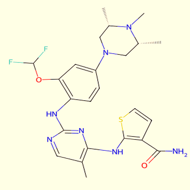 Cc1cnc(Nc2ccc(N3C[C@@H](C)N(C)[C@@H](C)C3)cc2OC(F)F)nc1Nc1sccc1C(N)=O